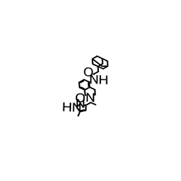 Cc1cc(C(C)N2CCc3c(NC(=O)CC45CC6CC(CC(C6)C4)C5)cccc3C2=O)n[nH]1